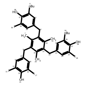 CCCCc1cc(Cc2c(C)c(Cc3cc(I)c(O)c(I)c3)c(C)c(Cc3cc(I)c(O)c(CCCC)c3)c2C)cc(I)c1O